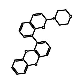 C1=CC(N2CCOCC2)Oc2c1cccc2-c1cccc2c1Oc1ccccc1S2